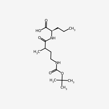 CCC[C@@H](NC(=O)C(C)CCNC(=O)OC(C)(C)C)C(=O)O